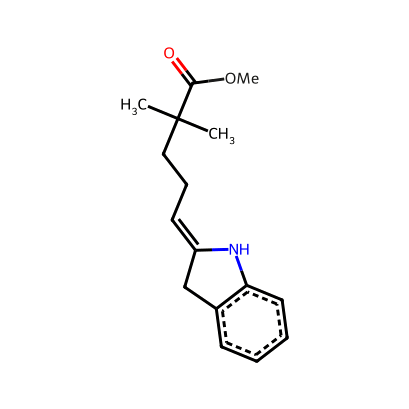 COC(=O)C(C)(C)CCC=C1Cc2ccccc2N1